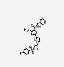 Cc1nc(-c2ccn(CCNS(=O)(=O)c3ccc(F)cc3)n2)sc1C(=O)NCc1cccnc1